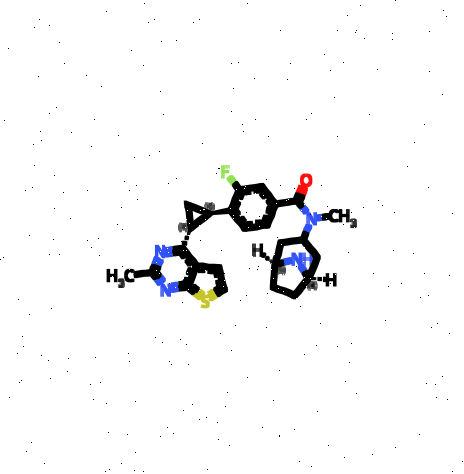 Cc1nc([C@@H]2C[C@H]2c2ccc(C(=O)N(C)C3C[C@H]4CC[C@@H](C3)N4)cc2F)c2ccsc2n1